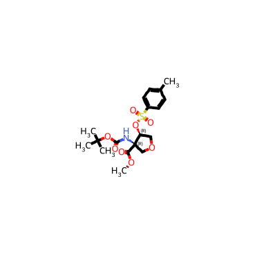 COC(=O)[C@@]1(NC(=O)OC(C)(C)C)COC[C@@H]1OS(=O)(=O)c1ccc(C)cc1